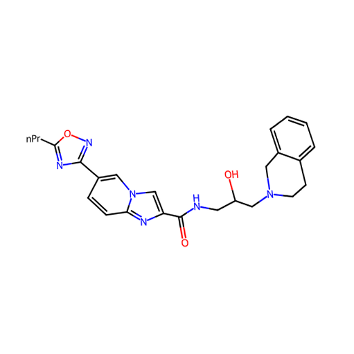 CCCc1nc(-c2ccc3nc(C(=O)NCC(O)CN4CCc5ccccc5C4)cn3c2)no1